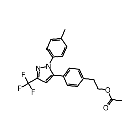 CC(=O)OCCc1ccc(-c2cc(C(F)(F)F)nn2-c2ccc(C)cc2)cc1